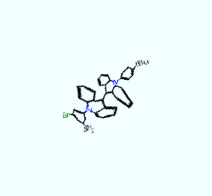 BC1C=C(Br)C=C(N2c3ccccc3C(C3C4C=CC=CC4N(C4=CC=C(C(C)(C)C)CC4)C4C=CC=CC34)C3C=CC=CC32)C1